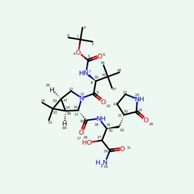 CC(C)(C)OC(=O)N[C@H](C(=O)N1C[C@H]2[C@@H]([C@H]1C(=O)N[C@@H](C[C@@H]1CCNC1=O)C(O)C(N)=O)C2(C)C)C(C)(C)C